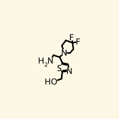 NCC(c1cnc(CO)s1)N1CCC(F)(F)CC1